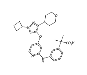 CC(C)(C(=O)O)c1cccc(Nc2cc(Oc3cn(C4CCC4)nc3C3CCOCC3)ccn2)c1